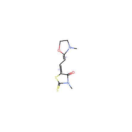 CN1C(=O)/C(=C\C=C2/OCCN2C)SC1=S